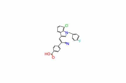 N#CC(=Cc1cn(Cc2ccc(F)cc2)c2c(Cl)cccc12)c1ccc(C(=O)O)cc1